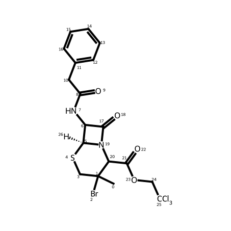 CC1(Br)CS[C@H]2C(NC(=O)Cc3ccccc3)C(=O)N2C1C(=O)OCC(Cl)(Cl)Cl